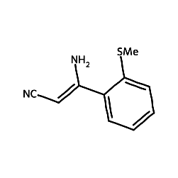 CSc1ccccc1/C(N)=C/C#N